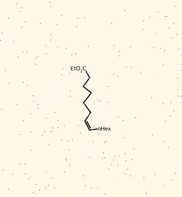 CCCCCC/C=C\CCCCCC(=O)OCC